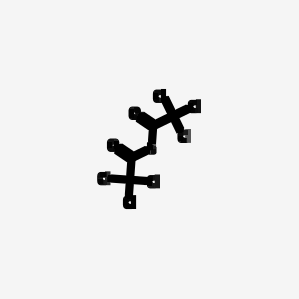 O=C(SC(=O)C(Cl)(Cl)Cl)C(Cl)(Cl)Cl